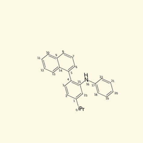 CC(C)c1ccc(-c2cccc3ccccc23)c(Nc2ccccc2)c1